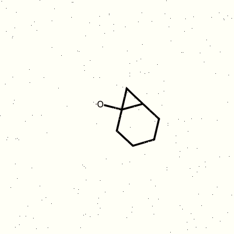 [O]C12CCCCC1C2